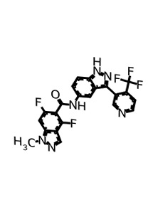 Cn1ncc2c(F)c(C(=O)Nc3ccc4[nH]nc(-c5cnccc5C(F)(F)F)c4c3)c(F)cc21